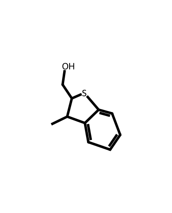 CC1c2ccccc2SC1CO